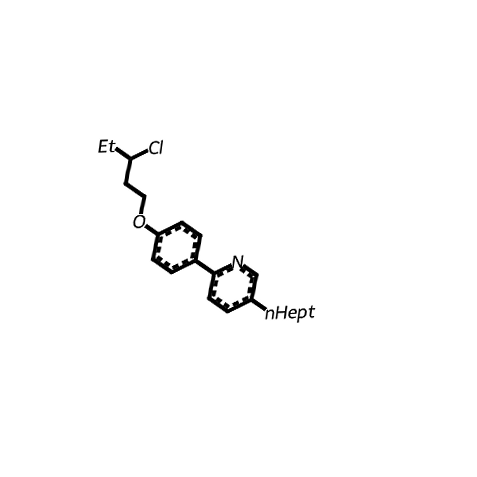 CCCCCCCc1ccc(-c2ccc(OCCC(Cl)CC)cc2)nc1